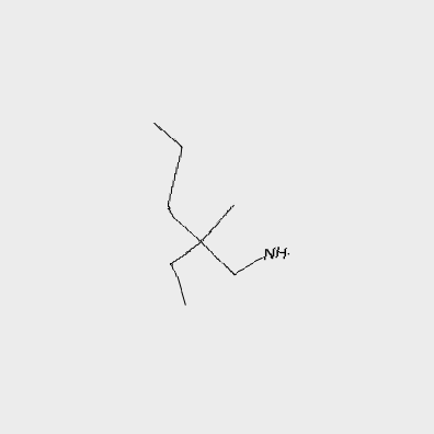 CCCC(C)(CC)C[NH]